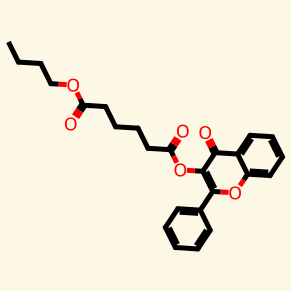 CCCCOC(=O)CCCCC(=O)Oc1c(-c2ccccc2)oc2ccccc2c1=O